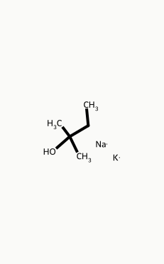 CCC(C)(C)O.[K].[Na]